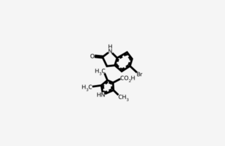 Cc1[nH]c(C)c(C(=O)O)c1C.O=C1Cc2cc(Br)ccc2N1